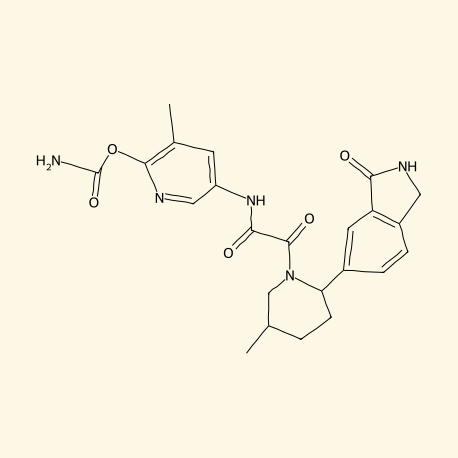 Cc1cc(NC(=O)C(=O)N2CC(C)CCC2c2ccc3c(c2)C(=O)NC3)cnc1OC(N)=O